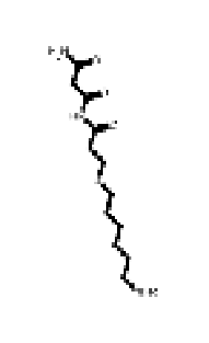 CCCCCCCCCCCCCCCCSCCC(=O)NC(=O)CC(N)=O